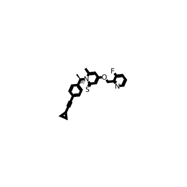 Cc1cc(OCc2ncccc2F)cc(=S)n1[C@H](C)c1ccc(C#CC2CC2)cc1